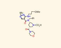 COCCCNc1nc(C(C)(C)C)ncc1C(=O)N(CC(C)C)[C@H]1C[C@@H](C(=O)N2CCOCC2)CN(C(=O)O)C1